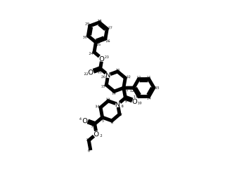 CCOC(=O)C1CCN(C(=O)C2(c3ccccc3)CCN(C(=O)OCc3ccccc3)CC2)CC1